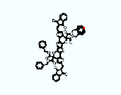 O=C1C(=Cc2cc3c(s2)-c2sc4c5c(sc4c2OC3(C(=O)OCc2ccccc2)C(=O)OCc2ccccc2)-c2sc(C=C3C(=O)c4ccccc4C3=O)cc2C(C(=O)OCc2ccccc2)(C(=O)OCc2ccccc2)O5)C(=O)c2ccccc21